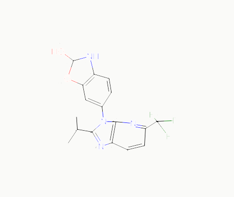 CC(C)c1nc2ccc(C(F)(F)F)nc2n1-c1ccc2c(c1)OC(O)N2